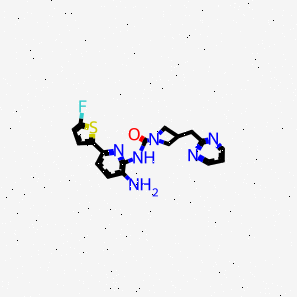 Nc1ccc(-c2ccc(F)s2)nc1NC(=O)N1CC(Cc2ncccn2)C1